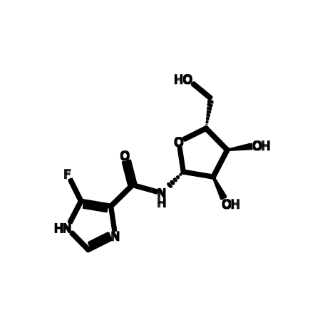 O=C(N[C@@H]1O[C@H](CO)[C@@H](O)[C@H]1O)c1nc[nH]c1F